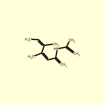 C=C(C)NC(=C)/C=C(C)\C(C)=C/C